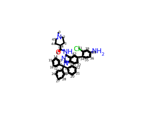 CN1CCC(C(=O)Nc2nn(C(c3ccccc3)(c3ccccc3)c3ccccc3)c3ccc(-c4ccc(N)cc4Cl)cc23)CC1